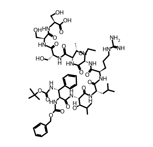 CC[C@H](C)[C@H](NC(=O)[C@@H](CCCNC(=N)N)NC(=O)[C@H](CC(C)C)NC(=O)[C@@H](NC(=O)[C@@H](NC(=O)OCc1ccccc1)[C@H](NC(=O)OC(C)(C)C)c1ccccc1)[C@H](O)C(C)C)C(=O)N[C@H](C(=O)N[C@H](CO)C(=O)N[C@@H](CO)C(=O)N[C@@H](CO)C(=O)O)[C@H](C)O